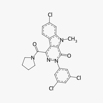 Cn1c2cc(Cl)ccc2c2c(C(=O)N3CCCC3)nn(-c3cc(Cl)cc(Cl)c3)c(=O)c21